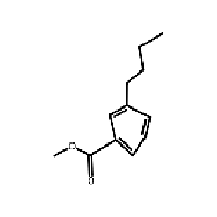 CCCCc1cccc(C(=O)OC)c1